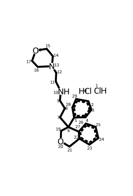 Cl.Cl.c1ccc(C2(CCCNCCN3CCOCC3)COCc3ccccc32)cc1